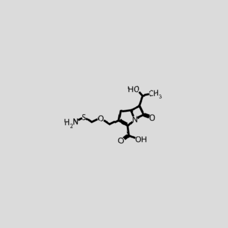 CC(O)C1C(=O)N2C(C(=O)O)=C(COCSN)CC12